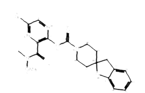 CON(C)C(=O)c1nc(Br)cnc1OC(=O)N1CCC2(CC1)Cc1ccccc1O2